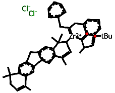 CC1=CCC(C)(C)c2cc3c(cc21)-c1cc2c(cc1C3)C(C)(C)[CH]([Zr+2]([C]1=CC(C(C)(C)C)=CC1C)=[C](Cc1ccccc1)Cc1ccccc1)C=C2C.[Cl-].[Cl-]